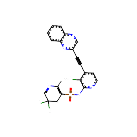 COC1=C(S(=O)(=O)Nc2nccc(C#Cc3cnc4ccccc4n3)c2F)CC(Cl)(Cl)C=N1